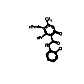 CCCCCn1c(C)cc(=O)c(C(=O)Nc2ccccc2Cl)c1CCC